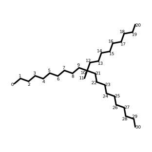 CCCCCCCCCCC(C)(CCCCCCCCC)CCCCCCCCCC